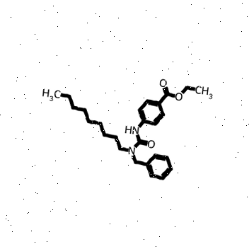 CCCCCCCCCN(Cc1ccccc1)C(=O)Nc1ccc(C(=O)OCC)cc1